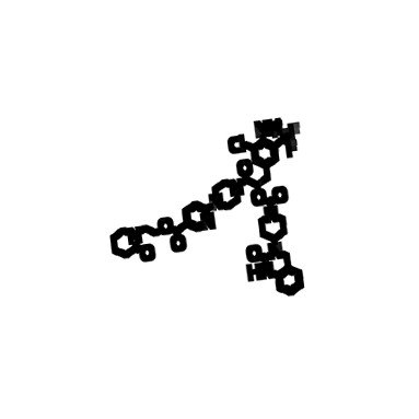 Nc1c(Cl)cc(C[C@@H](OC(=O)N2CCC(N3Cc4ccccc4NC3=O)CC2)C(=O)N2CCN(c3ccc(C(=O)OCCN4CCCCC4=O)cn3)CC2)cc1C(F)(F)F